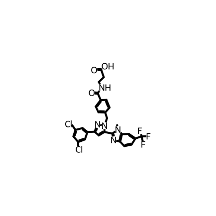 Cn1c(-c2cc(-c3cc(Cl)cc(Cl)c3)nn2Cc2ccc(C(=O)NCCC(=O)O)cc2)nc2ccc(C(F)(F)F)cc21